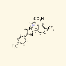 O=C(O)/C=C/n1nc(-c2ccc(C(F)(F)F)cc2)nc1-c1ccc(C(F)(F)F)cc1